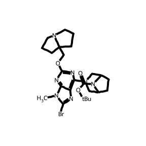 Cn1c(Br)nc2c(N3CC4CCC(C3)N4C(=O)OC(C)(C)C)nc(OCC34CCCN3CCC4)nc21